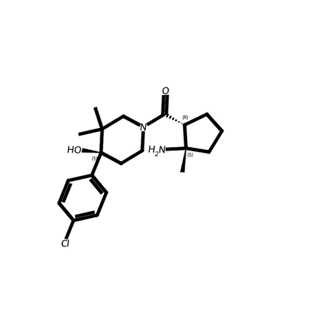 CC1(C)CN(C(=O)[C@@H]2CCC[C@]2(C)N)CC[C@]1(O)c1ccc(Cl)cc1